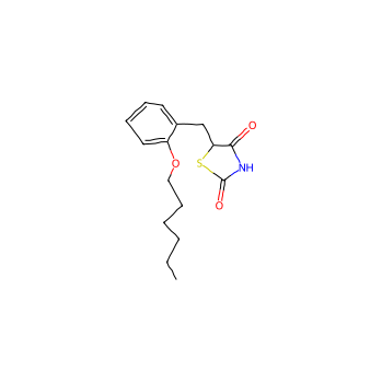 CCCCCCOc1ccccc1CC1SC(=O)NC1=O